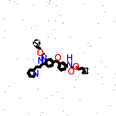 C[Si](C)(C)CCOCn1nc(CCc2ccccn2)c2ccc(C(=O)c3cccc(NC(=O)OCC[Si](C)(C)C)c3)cc21